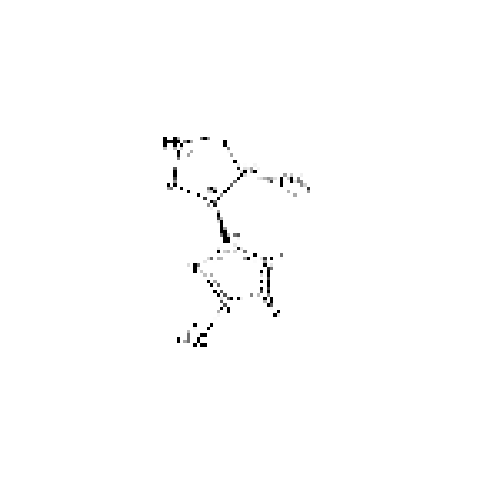 Cc1noc([C@H]2CNC[C@@H]2C)n1